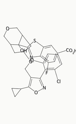 O=C(O)c1cc(F)c2nc(C3(O)C4COCC3CC(OCc3c(-c5c(Cl)cccc5Cl)noc3C3CC3)C4)sc2c1